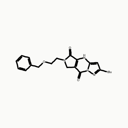 CC(C)(C)c1cc2[nH]c3c(c(=O)n2n1)CN(CCOCc1ccccc1)C3=O